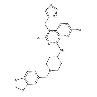 O=c1nc(NC2CCN(Cc3ccc4c(c3)OCO4)CC2)c2cc(Cl)ccc2n1Cc1cncs1